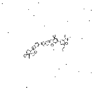 C=CCn1cc(-c2cc(OC)c(CN3CCC4(C3)CN(c3ccc5c(c3)C(=O)N(C3CCC(=O)NC3=O)C5)C4)c(OC)c2)cc(C(F)F)c1=O